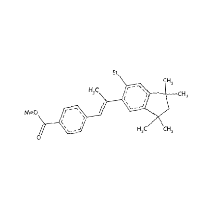 CCc1cc2c(cc1/C(C)=C/c1ccc(C(=O)OC)cc1)C(C)(C)CC2(C)C